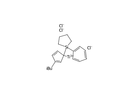 CCC(C)C1=C[C]([Ti+3])([Si]2(c3ccccc3)CCCC2)C=C1.[Cl-].[Cl-].[Cl-]